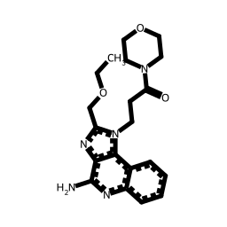 CCOCc1nc2c(N)nc3ccccc3c2n1CCC(=O)N1CCOCC1